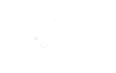 CN/N=C(/C)C(=O)CC(=O)OC